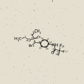 CCOP(=O)(CC)C(Br)c1ccc(NC(=O)C(F)(F)F)cc1